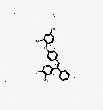 Cc1ccc(Nc2ccc(/C=C(/c3ccccc3)c3ccc(C)c(C)c3)cc2)c(C)c1